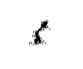 C=CCn1c(=O)c2cnc(Nc3ccc(NCCNCCCCc4cccc5c4n(C)c(=O)n5C4CCC(=O)NC4=O)cc3)nc2n1-c1cccc(C(C)(C)O)n1